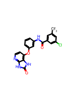 O=C(Nc1cccc(Oc2ccnc3[nH]c(=O)[nH]c23)c1)c1cc(Cl)cc(C(F)(F)F)c1